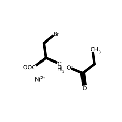 CC(CBr)C(=O)[O-].CCC(=O)[O-].[Ni+2]